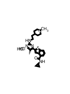 CN1CCC(CCNc2ncc(F)c(-c3cc4c(C(=O)NC5CC5)cccc4s3)n2)CC1.Cl.Cl